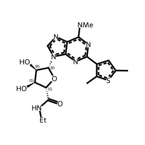 CCNC(=O)[C@H]1O[C@@H](n2cnc3c(NC)nc(-c4cc(C)sc4C)nc32)[C@H](O)[C@@H]1O